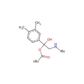 CCCCC(=O)OC(O)(CNC(C)(C)C)c1ccc(C)c(C)c1